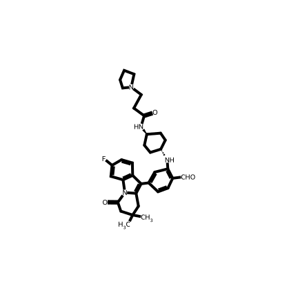 CC1(C)CC(=O)n2c(c(-c3ccc(C=O)c(N[C@H]4CC[C@H](NC(=O)CCN5CCCC5)CC4)c3)c3ccc(F)cc32)C1